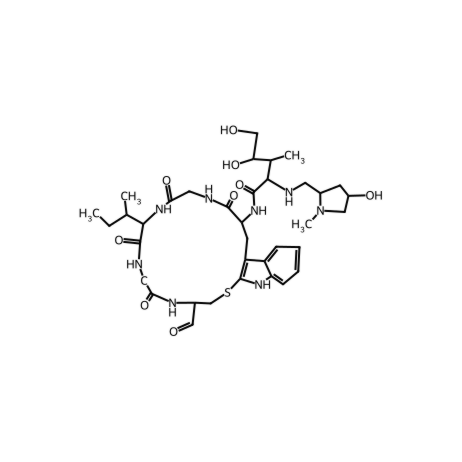 CCC(C)C1NC(=O)CNC(=O)C(NC(=O)C(NCC2CC(O)CN2C)C(C)C(O)CO)Cc2c([nH]c3ccccc23)SCC(C=O)NC(=O)CNC1=O